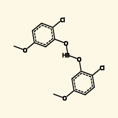 COc1ccc(Cl)c(OBOc2cc(OC)ccc2Cl)c1